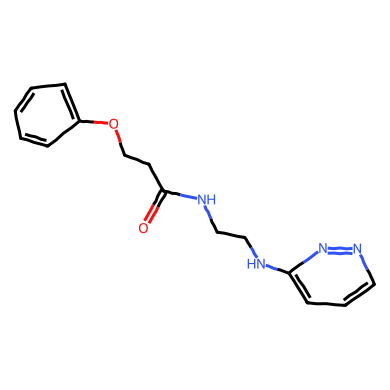 O=C(CCOc1ccccc1)NCCNc1cccnn1